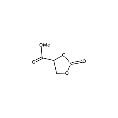 COC(=O)C1COS(=O)O1